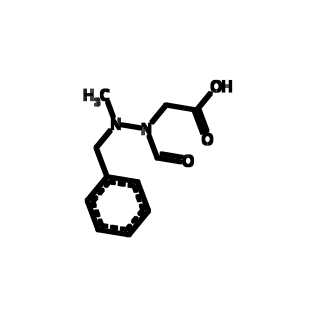 CN(Cc1ccccc1)N(C=O)CC(=O)O